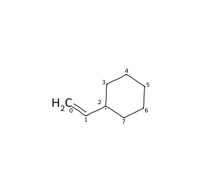 C=C[C]1CCCCC1